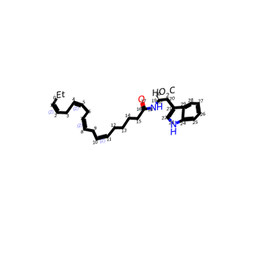 CC/C=C\C/C=C\C/C=C\C/C=C\CCCCC(=O)N[C@@H](Cc1c[nH]c2ccccc12)C(=O)O